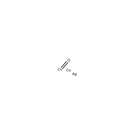 [Ag].[Co].[O]=[Co]